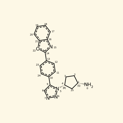 N[C@H]1CC[C@@H](n2nncc2-c2ccc(-c3nc4ccccc4o3)cc2)C1